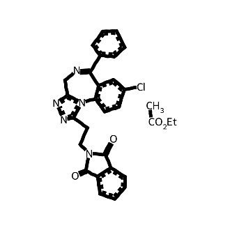 CCOC(C)=O.O=C1c2ccccc2C(=O)N1CCc1nnc2n1-c1ccc(Cl)cc1C(c1ccccc1)=NC2